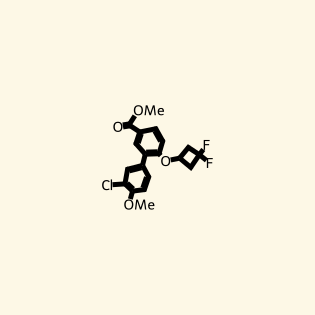 COC(=O)c1ccc(OC2CC(F)(F)C2)c(-c2ccc(OC)c(Cl)c2)c1